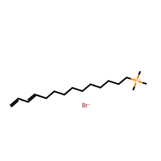 C=CC=CCCCCCCCCCC[P+](C)(C)C.[Br-]